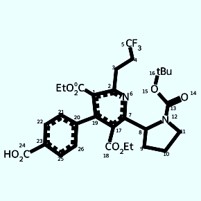 CCOC(=O)c1c(CCC(F)(F)F)nc(C2CCCN2C(=O)OC(C)(C)C)c(C(=O)OCC)c1-c1ccc(C(=O)O)cc1